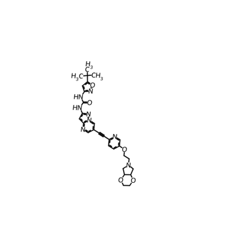 CC(C)(C)c1cc(NC(=O)Nc2cc3ncc(C#Cc4ccc(OCCN5CC6OCCOC6C5)cn4)cn3n2)no1